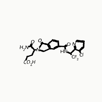 NC(=O)C(CCC(=O)O)N1Cc2cc(C(=O)NC(c3ncccc3Cl)C(F)(F)F)ccc2C1=O